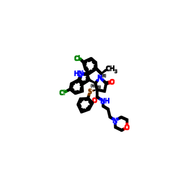 C[C@H](c1ccc(Cl)cc1)N1C(=O)C[C@@](Sc2ccccc2)(C(=O)NCCCN2CCOCC2)[C@H]1c1c[nH]c2cc(Cl)ccc12